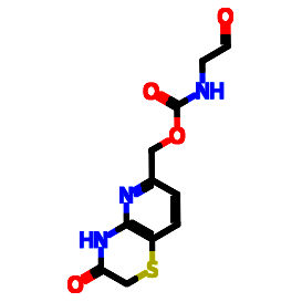 O=CCNC(=O)OCc1ccc2c(n1)NC(=O)CS2